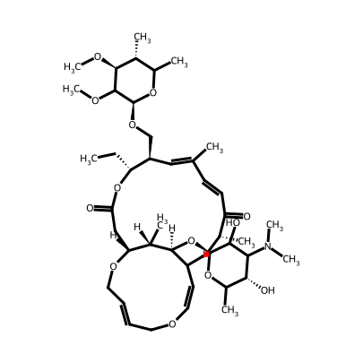 CC[C@H]1OC(=O)C[C@H]2OC/C=C/CO/C=C\[C@@H](C[C@@H](C)C(=O)/C=C/C(C)=C/[C@@H]1CO[C@@H]1OC(C)[C@@H](C)[C@H](OC)C1OC)[C@H](O[C@@H]1OC(C)[C@@H](O)C(N(C)C)C1O)[C@H]2C